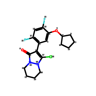 O=c1c(-c2cc(OC3CCCC3)c(F)cc2F)c(Cl)n2n1CCCC2